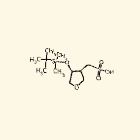 CC(C)(C)[Si](C)(C)O[C@@H]1COC[C@@H]1CS(=O)(=O)O